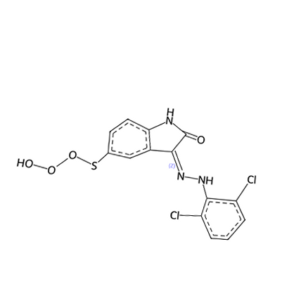 O=C1Nc2ccc(SOOO)cc2/C1=N/Nc1c(Cl)cccc1Cl